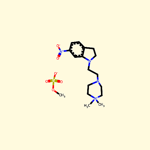 COS(=O)(=O)[O-].C[N+]1(C)CCN(CCN2CCc3ccc([N+](=O)[O-])cc32)CC1